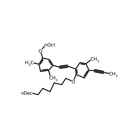 CC#Cc1cc(OCCCCCCCCCCCCCCCC)c(C#Cc2cc(OCCCCCCCC)c(C)cc2C)cc1C